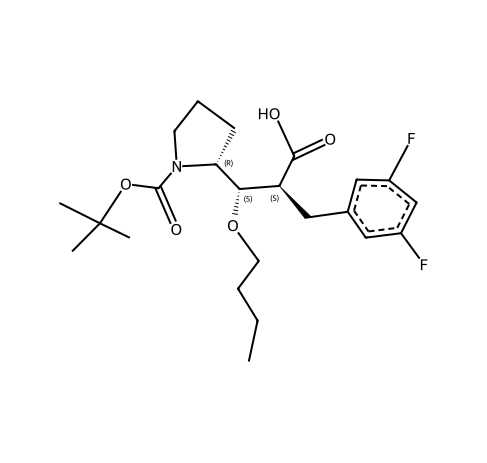 CCCCO[C@@H]([C@H](Cc1cc(F)cc(F)c1)C(=O)O)[C@H]1CCCN1C(=O)OC(C)(C)C